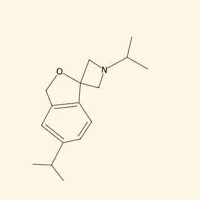 CC(C)c1ccc2c(c1)COC21CN(C(C)C)C1